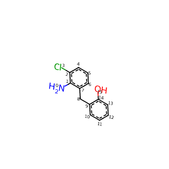 Nc1c(Cl)cccc1Cc1ccccc1O